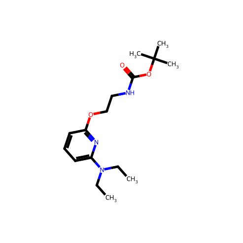 CCN(CC)c1cccc(OCCNC(=O)OC(C)(C)C)n1